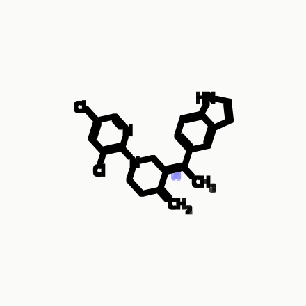 C=C1CCN(c2ncc(Cl)cc2Cl)C/C1=C(/C)c1ccc2[nH]ccc2c1